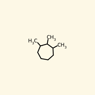 C[C]1CCCCC(C)C1C